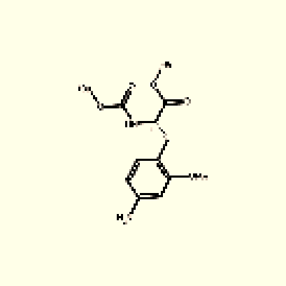 COc1cc(N)ccc1C[C@H](NC(=O)OC(C)(C)C)C(=O)OC(C)(C)C